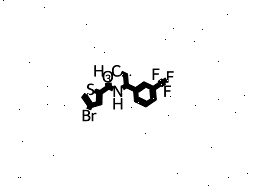 C[CH]C(NC(=O)c1cc(Br)cs1)c1cccc(C(F)(F)F)c1